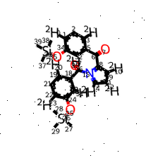 [2H]c1cc([2H])c(C(=O)c2c([2H])c([2H])c([2H])n2C(=O)c2c([2H])cc([2H])c(O[Si](C)(C)C)c2[2H])c([2H])c1O[Si](C)(C)C